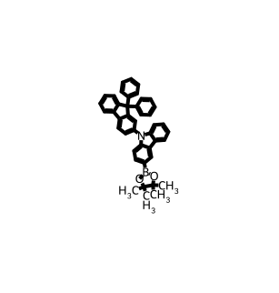 CC1(C)OB(c2ccc3c(c2)c2ccccc2n3-c2ccc3c(c2)C(c2ccccc2)(c2ccccc2)c2ccccc2-3)OC1(C)C